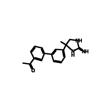 CC(=O)c1cccc(-c2cccc(C3(C)CNC(=N)N3)c2)c1